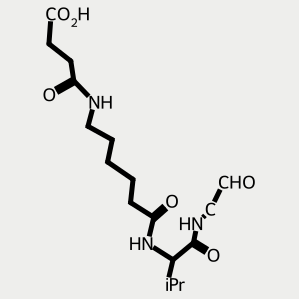 CC(C)C(NC(=O)CCCCCNC(=O)CCC(=O)O)C(=O)NCC=O